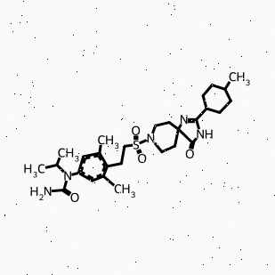 Cc1cc(N(C(N)=O)C(C)C)cc(C)c1CCS(=O)(=O)N1CCC2(CC1)N=C(C1CCC(C)CC1)NC2=O